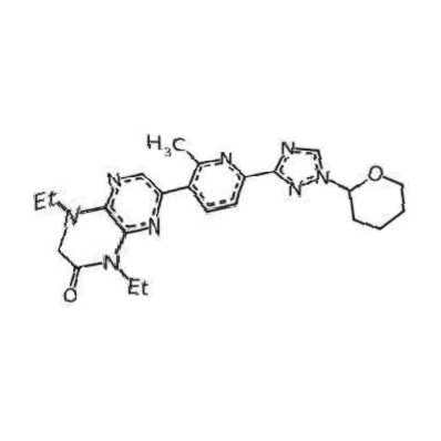 CCN1CC(=O)N(CC)c2nc(-c3ccc(-c4ncn(C5CCCCO5)n4)nc3C)cnc21